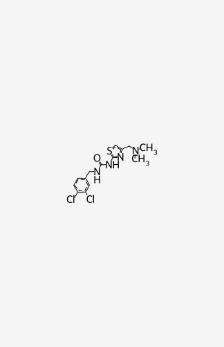 CN(C)Cc1csc(NC(=O)NCc2ccc(Cl)c(Cl)c2)n1